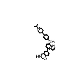 CC(C)N1CCC(c2ccc(Nc3ccc(-c4ccc5c(c4)CNCO5)n4ccnc34)cc2)CC1